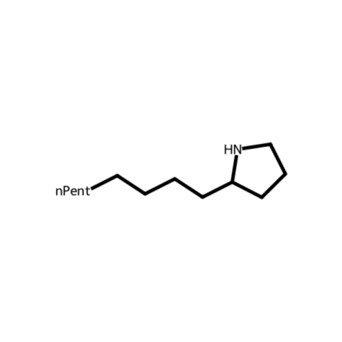 CCCCCCCCCC1CCCN1